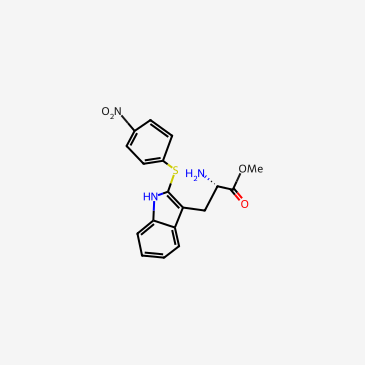 COC(=O)[C@@H](N)Cc1c(Sc2ccc([N+](=O)[O-])cc2)[nH]c2ccccc12